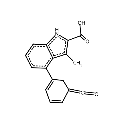 Cc1c(C(=O)O)[nH]c2cccc(C3=CC=CC(=C=O)C3)c12